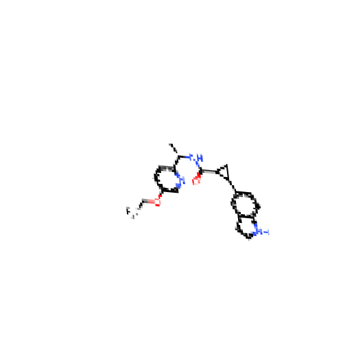 C[C@@H](NC(=O)C1CC1c1ccc2[nH]ccc2c1)c1ccc(OCC(F)(F)F)cn1